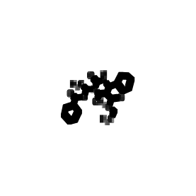 CCOC(=O)C1=C(C)N(C(C)OC(=O)c2ccccc2)C(=O)NC1c1ccccc1